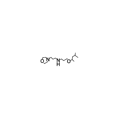 CC(C)CC(C)OCCCNCCCN1CCOCC1